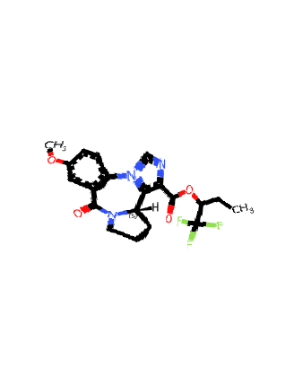 CCC(OC(=O)c1ncn2c1[C@@H]1CCCN1C(=O)c1cc(OC)ccc1-2)C(F)(F)F